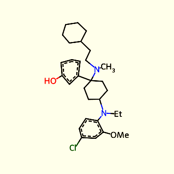 CCN(c1ccc(Cl)cc1OC)C1CCC(c2cccc(O)c2)(N(C)CCC2CCCCC2)CC1